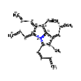 C=C/C=C\c1c(C)/c(=C/C=C)c2c(C=C)c(=C/C=C)/c(=C\C=C)n12